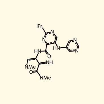 CN/C=C(/NC(=O)c1nc(C(C)C)ncc1Nc1cncnc1)C(=N)C(=O)NC